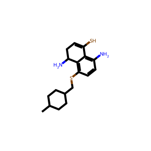 CC1CCC(CSc2ccc(N)c3c2C(N)CC=C3S)CC1